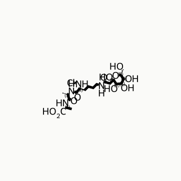 C[C@H](NC(=O)[C@H](C)NC(=O)[C@H](CCCCNC(=O)C[C@]1(O)O[C@H](CO)[C@H](O)[C@H](O)[C@H]1O)NCl)C(=O)O